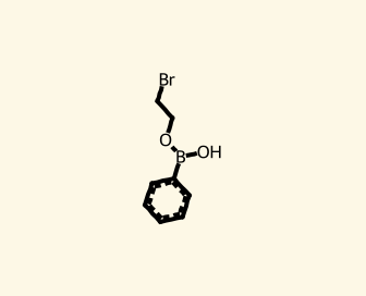 OB(OCCBr)c1ccccc1